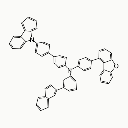 c1cc(-c2ccc3ccccc3c2)cc(N(c2ccc(-c3ccc(-n4c5ccccc5c5ccccc54)cc3)cc2)c2ccc(-c3cccc4oc5ccccc5c34)cc2)c1